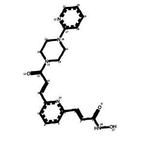 O=C(/C=C/c1cccc(/C=C/C(=O)N2CCN(c3ccccn3)CC2)n1)NO